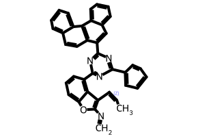 C=Nc1oc2cccc(-c3nc(-c4ccccc4)nc(-c4cc5ccccc5c5c4ccc4ccccc45)n3)c2c1/C=C\C